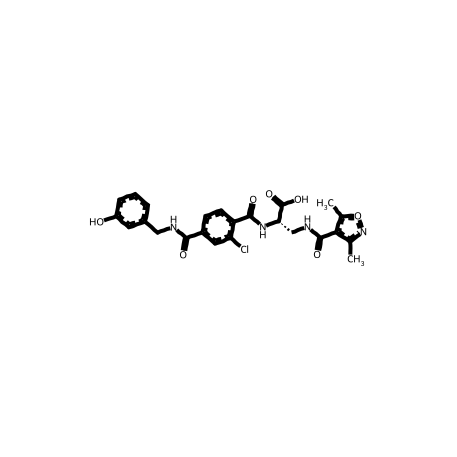 Cc1noc(C)c1C(=O)NC[C@H](NC(=O)c1ccc(C(=O)NCc2cccc(O)c2)cc1Cl)C(=O)O